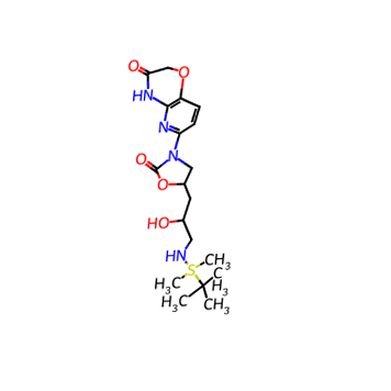 CC(C)(C)S(C)(C)NCC(O)CC1CN(c2ccc3c(n2)NC(=O)CO3)C(=O)O1